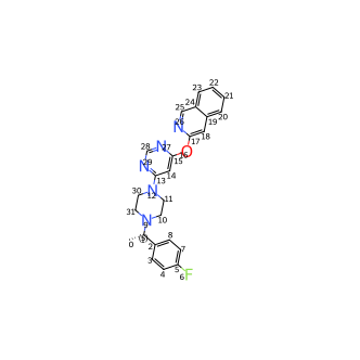 C[C@@H](c1ccc(F)cc1)N1CCN(c2cc(Oc3cc4ccccc4cn3)ncn2)CC1